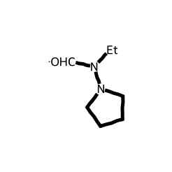 CCN([C]=O)N1CCCC1